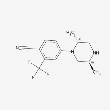 C[C@@H]1CN[C@@H](C)CN1c1ccc(C#N)c(C(F)(F)F)c1